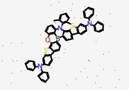 Cc1cccc(C)c1N1c2cccc3c2B(c2ccc4c(sc5cc(N(c6ccccc6)c6ccccc6)ccc54)c2O3)c2ccc3c(sc4cc(N(c5ccccc5)c5ccccc5)ccc43)c21